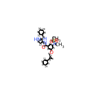 CN(c1cc(OCC2CC2c2ccccc2)cc(C(=O)N[C@@H]2CCN[C@@H]2Cc2ccccc2)c1)S(C)(=O)=O